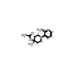 CC1(OC(N)=O)CCN(c2cccnc2N)CC1